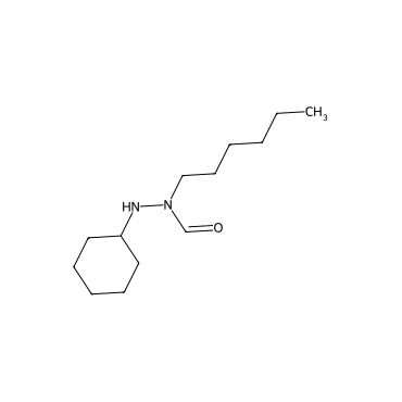 CCCCCCN(C=O)NC1CCCCC1